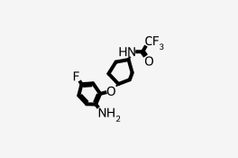 Nc1ccc(F)cc1O[C@H]1CC[C@H](NC(=O)C(F)(F)F)CC1